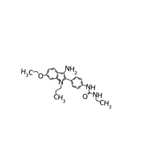 CCCn1c(-c2ccc(NC(=O)NCC)cc2)c(N)c2ccc(OCC)cc21